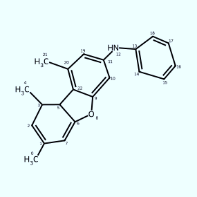 CC1=CC(C)C2C(=C1)Oc1cc(Nc3ccccc3)cc(C)c12